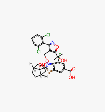 CC(C)(O)c1onc(-c2c(Cl)cccc2Cl)c1COC1C[C@H]2CC[C@@H](C1)C2(O)c1nc2c(F)cc(C(=O)O)cc2s1